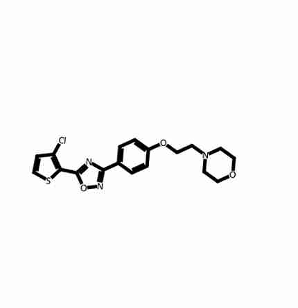 Clc1ccsc1-c1nc(-c2ccc(OCCN3CCOCC3)cc2)no1